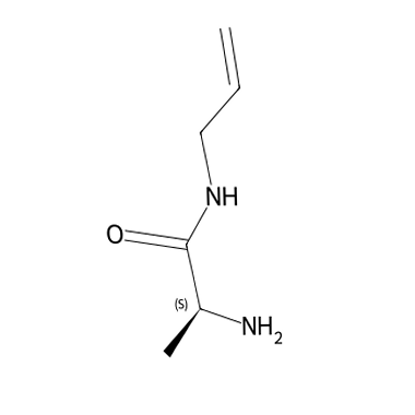 C=CCNC(=O)[C@H](C)N